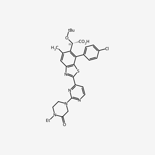 CCN1CCN(c2nccc(-c3nc4cc(C)c([C@H](OC(C)(C)C)C(=O)O)c(-c5ccc(Cl)cc5)c4s3)n2)CC1=O